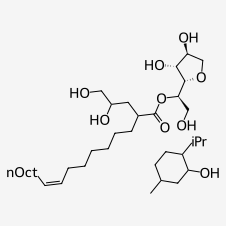 CC1CCC(C(C)C)C(O)C1.CCCCCCCC/C=C\CCCCCCC(CC(O)CO)C(=O)O[C@H](CO)[C@H]1OC[C@H](O)[C@H]1O